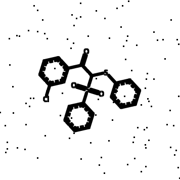 O=C(c1cccc(Cl)c1)C(Sc1ccccc1)S(=O)(=O)c1ccccc1